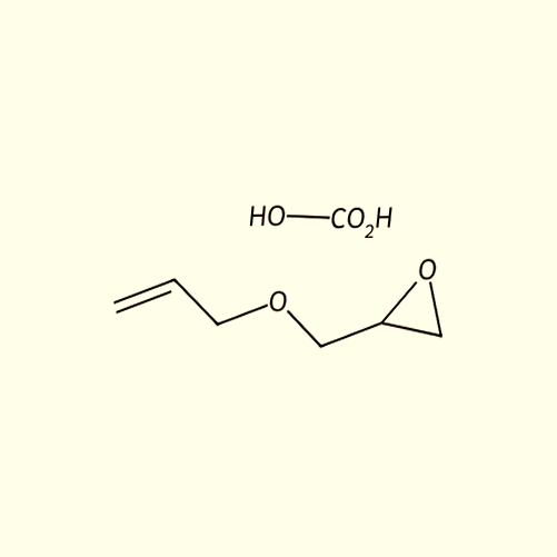 C=CCOCC1CO1.O=C(O)O